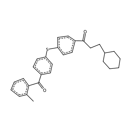 Cc1ccccc1C(=O)c1ccc(Sc2ccc(C(=O)CCC3CCCCC3)cc2)cc1